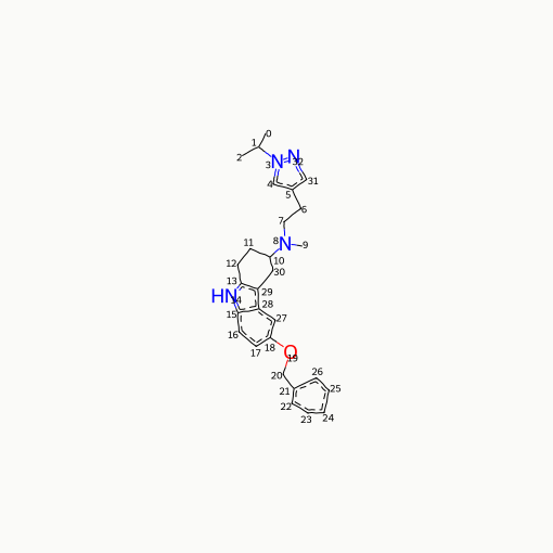 CC(C)n1cc(CCN(C)C2CCc3[nH]c4ccc(OCc5ccccc5)cc4c3C2)cn1